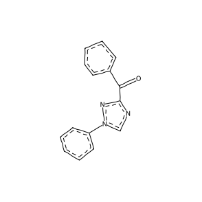 O=C(c1ccccc1)c1ncn(-c2ccccc2)n1